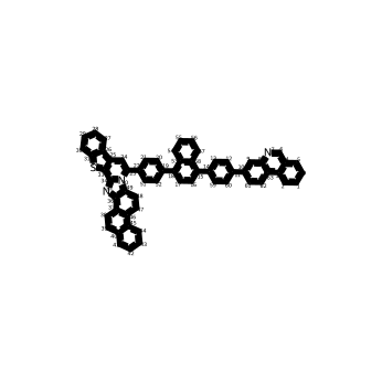 c1ccc2c(c1)cnc1cc(-c3ccc(-c4ccc(-c5ccc(-c6cc7c8ccccc8sc7c7nc8c9ccc%10ccccc%10c9ccc8n67)cc5)c5ccccc45)cc3)ccc12